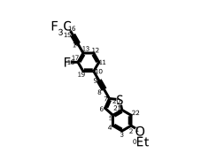 CCOc1ccc2cc(C#Cc3ccc(C#CC(F)(F)F)c(F)c3)sc2c1